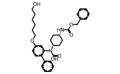 O=C(N[C@H]1CC[C@H](N(C(=O)O)c2cc(OCCCCCCO)ccc2-c2ccccc2)CC1)OCc1ccccc1